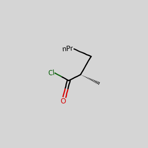 CCCC[C@H](C)C(=O)Cl